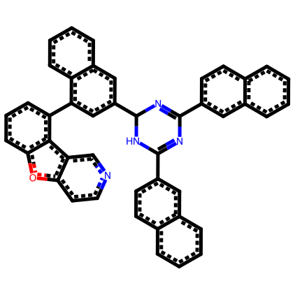 c1ccc2cc(C3=NC(c4cc(-c5cccc6oc7ccncc7c56)c5ccccc5c4)NC(c4ccc5ccccc5c4)=N3)ccc2c1